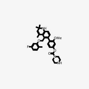 COc1cc(OC(=O)N2CCNCC2)ccc1-c1ccc2c(c1COc1cc(F)ccc1C)C(C)=CC(C)(C)N2